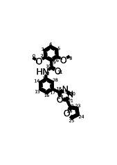 COc1cccc(OC)c1C(=O)Nc1cccc(-c2nnc(-c3ccco3)o2)c1